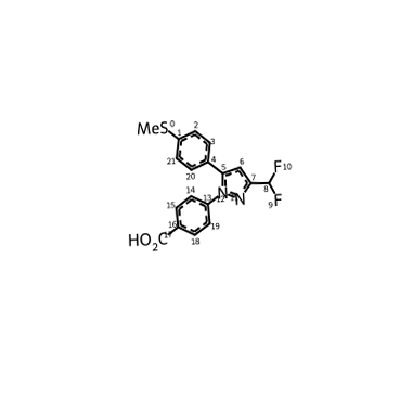 CSc1ccc(-c2cc(C(F)F)nn2-c2ccc(C(=O)O)cc2)cc1